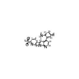 CN1Cc2c(-c3ccc(S(C)(=O)=O)nc3)[nH]c3nccc(c23)-c2cc(F)ccc21